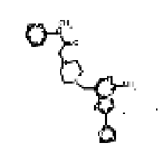 CN(C(=O)CN1CCN(Cc2cnc(N)n3nc(-c4ccco4)nc23)CC1)c1ccccc1